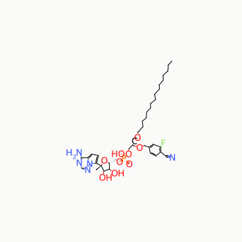 CCCCCCCCCCCCCCCCOC[C@H](COP(=O)(O)OC[C@H]1O[C@@](C)(c2ccc3c(N)ncnn23)[C@H](O)[C@@H]1O)OCc1ccc(C#N)c(F)c1